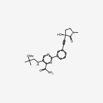 COC(C)(C)CNc1cnc(-c2cccc(C#C[C@]3(O)CCN(C)C3=O)c2)nc1C(N)=O